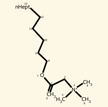 C=C(C[N+](C)(C)C)OCCCCCCCCCCCC